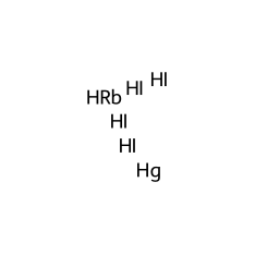 I.I.I.I.[Hg].[RbH]